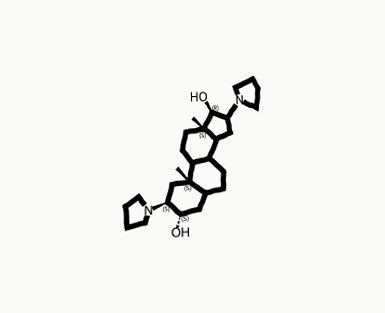 C[C@]12C[C@H](N3CCCC3)[C@@H](O)CC1CCC1C2CC[C@@]2(C)C1CC(N1CCCC1)[C@@H]2O